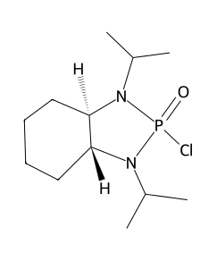 CC(C)N1[C@@H]2CCCC[C@H]2N(C(C)C)P1(=O)Cl